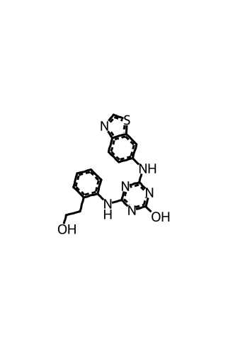 OCCc1ccccc1Nc1nc(O)nc(Nc2ccc3ncsc3c2)n1